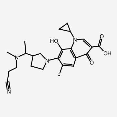 CC(C1CCN(c2c(F)cc3c(=O)c(C(=O)O)cn(C4CC4)c3c2O)C1)N(C)CCC#N